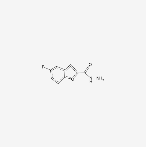 NNC(=O)c1cc2cc(F)ccc2o1